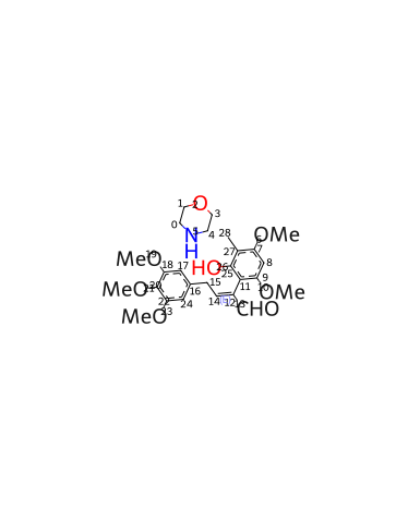 C1COCCN1.COc1cc(OC)c(/C(C=O)=C\Cc2cc(OC)c(OC)c(OC)c2)c(O)c1C